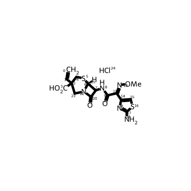 C=CC1(C(=O)O)CS[C@@H]2C(NC(=O)C(=NOC)c3csc(N)n3)C(=O)N2C1.Cl